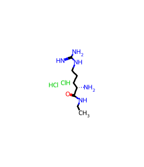 CCNC(=O)[C@@H](N)CCCNC(=N)N.Cl.Cl